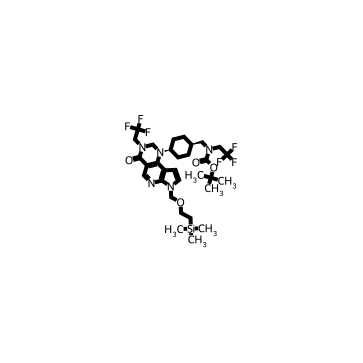 CC(C)(C)OC(=O)N(CC(F)(F)F)C[C@H]1CC[C@H](N2CN(CC(F)(F)F)C(=O)c3cnc4c(ccn4COCC[Si](C)(C)C)c32)CC1